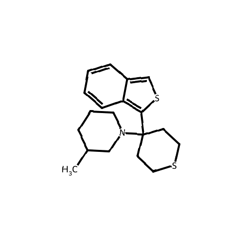 CC1CCCN(C2(c3scc4ccccc34)CCSCC2)C1